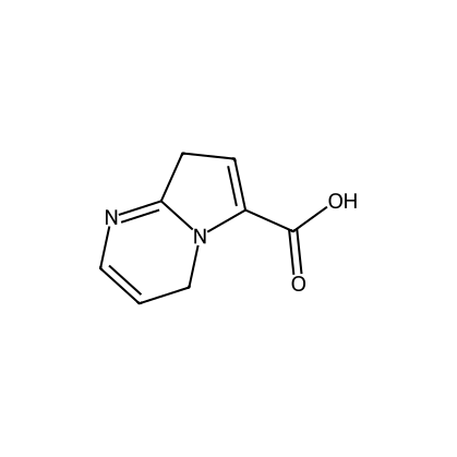 O=C(O)C1=CCC2=NC=CCN12